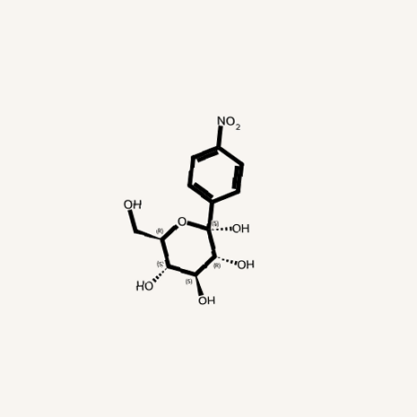 O=[N+]([O-])c1ccc([C@]2(O)O[C@H](CO)[C@@H](O)[C@H](O)[C@H]2O)cc1